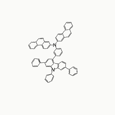 c1ccc(-c2ccc3c4c(-c5cccc(N(c6ccc7c(ccc8ccccc87)c6)c6ccc7c(ccc8ccccc87)c6)c5)cc(-c5ccccc5)cc4n(-c4ccccc4)c3c2)cc1